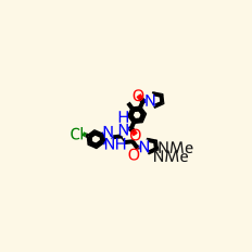 CNC1(NC)CCN(C(=O)CC[C@H](NC(=O)c2ccc(C(=O)N3CCCC3)c(C)c2)c2nc3cc(Cl)ccc3[nH]2)C1